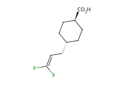 O=C(O)[C@H]1CC[C@H](CC=C(F)F)CC1